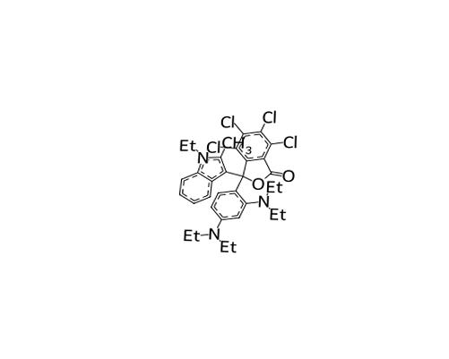 CCN(CC)c1ccc(C2(c3c(C)n(CC)c4ccccc34)OC(=O)c3c(Cl)c(Cl)c(Cl)c(Cl)c32)c(N(CC)CC)c1